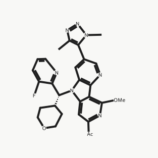 COc1nc(C(C)=O)cc2c1c1ncc(-c3c(C)nnn3C)cc1n2[C@@H](c1ncccc1F)C1CCOCC1